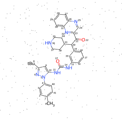 Cc1ccc(-n2nc(C(C)(C)C)cc2NC(=O)Nc2cccc(C(C(=O)c3cnc4ccccc4n3)C3CCNCC3)c2)cc1